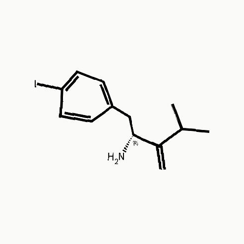 C=C(C(C)C)[C@H](N)Cc1ccc(I)cc1